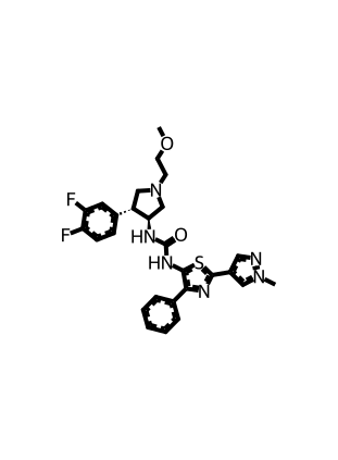 COCCN1C[C@@H](NC(=O)Nc2sc(-c3cnn(C)c3)nc2-c2ccccc2)[C@H](c2ccc(F)c(F)c2)C1